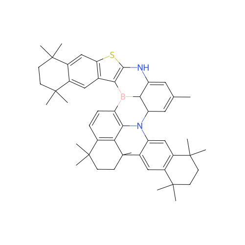 CC1=CC2C3B(c4ccc5c6c4N2c2cc4c(cc2C6(C)CCC5(C)C)C(C)(C)CCC4(C)C)c2c(sc4cc5c(cc24)C(C)(C)CCC5(C)C)NC3=C1